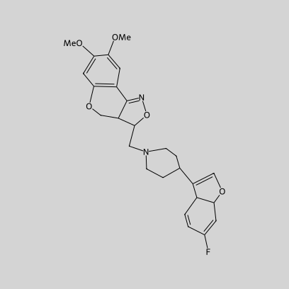 COc1cc2c(cc1OC)C1=NOC(CN3CCC(C4=COC5C=C(F)C=CC45)CC3)C1CO2